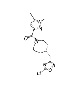 Cc1cc(C(=O)N2CCC(Cc3noc(Cl)n3)CC2)nn1C